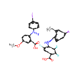 COc1ccc(Nc2ccc(I)cc2)c(C(=O)O)c1.Cc1cc(I)ccc1Nc1c(F)cc(C(=O)O)c(F)c1F